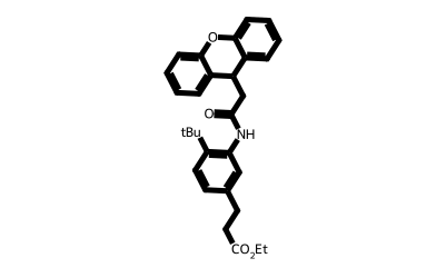 CCOC(=O)CCc1ccc(C(C)(C)C)c(NC(=O)CC2c3ccccc3Oc3ccccc32)c1